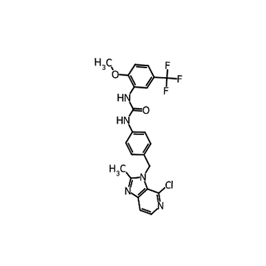 COc1ccc(C(F)(F)F)cc1NC(=O)Nc1ccc(Cn2c(C)nc3ccnc(Cl)c32)cc1